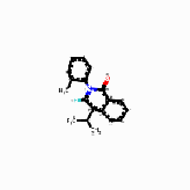 Cc1ccccc1-n1c(F)c(C(C)C(F)(F)F)c2ccccc2c1=O